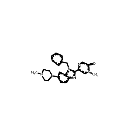 CN1CCN(c2ccc3nc(-c4cn(C)c(=O)cn4)n(Cc4ccccc4)c3c2)CC1